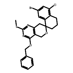 CSc1nc2c(c(OCc3ccccc3)n1)COC1(CCCc3c(Cl)cc(Br)cc31)C2